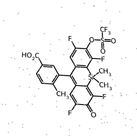 Cc1ccc(C(=O)O)cc1C1=C2C=C(F)C(=O)C(F)=C2[Si](C)(C)c2c1cc(F)c(OS(=O)(=O)C(F)(F)F)c2F